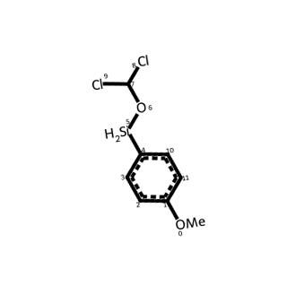 COc1ccc([SiH2]OC(Cl)Cl)cc1